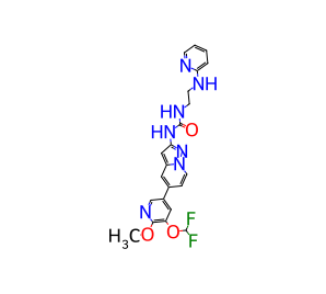 COc1ncc(-c2ccn3nc(NC(=O)NCCNc4ccccn4)cc3c2)cc1OC(F)F